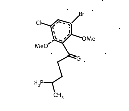 COc1c(Cl)cc(Br)c(OC)c1C(=O)CCC(C)P